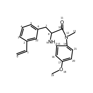 C=Cc1cccc(CC(N)C(=O)N(C)c2ccc(OC)cc2)c1